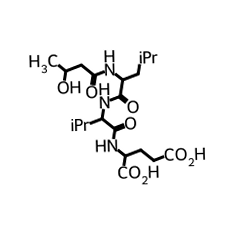 CC(C)CC(NC(=O)CC(C)O)C(=O)NC(C(=O)NC(CCC(=O)O)C(=O)O)C(C)C